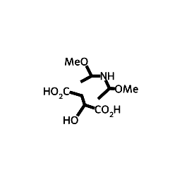 COC(C)NC(C)OC.O=C(O)CC(O)C(=O)O